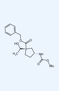 CC(O)[C@]1(C(=O)OCc2ccccc2)CC[C@@H](NC(=O)OC(C)(C)C)C1